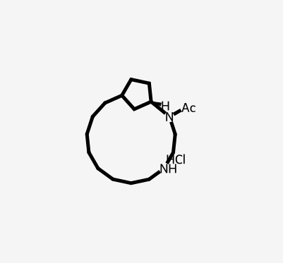 CC(=O)N1CCNCCCCCCCCC2CC[C@H]1C2.Cl